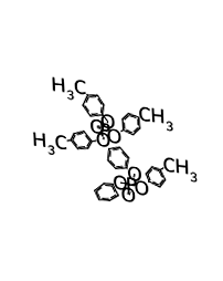 Cc1ccc(OP(=O)(Oc2ccc(C)cc2)Oc2ccc(C)cc2)cc1.Cc1ccc(OP(=O)(Oc2ccccc2)Oc2ccccc2)cc1